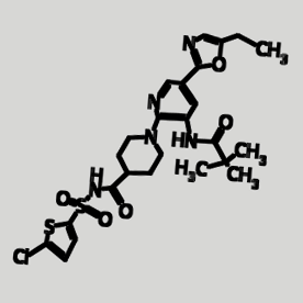 CCc1cnc(-c2cnc(N3CCC(C(=O)NS(=O)(=O)c4ccc(Cl)s4)CC3)c(NC(=O)C(C)(C)C)c2)o1